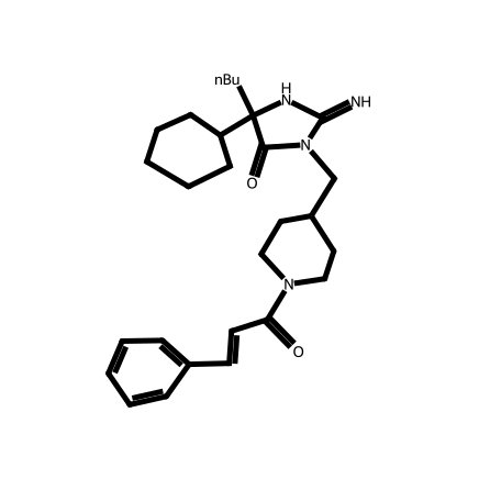 CCCCC1(C2CCCCC2)NC(=N)N(CC2CCN(C(=O)/C=C/c3ccccc3)CC2)C1=O